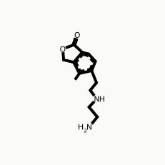 Cc1c(CCNCCN)ccc2c1COC2=O